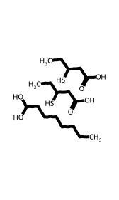 CCC(S)CC(=O)O.CCC(S)CC(=O)O.CCCCCCCC(O)O